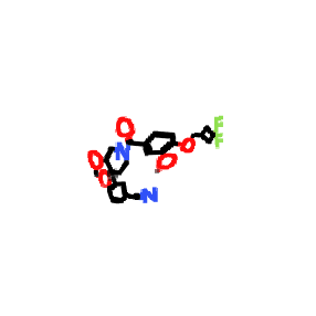 COc1cc(C(=O)N2CC[C@]3(c4cccc(C#N)c4)OCOC3C2)ccc1OCC1CC(F)(F)C1